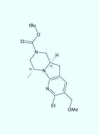 CCc1nc2c(cc1COC)C[C@@H]1CN(C(=O)OC(C)(C)C)C[C@@H](C)N21